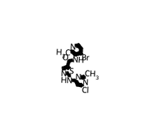 Cc1nc(Cl)cc(Nc2ncc(C(=O)Nc3c(Br)ccnc3C)s2)n1